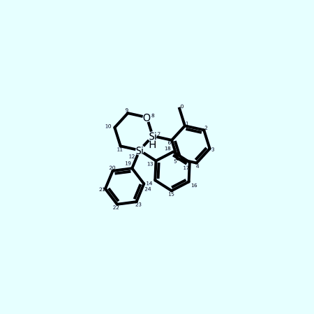 Cc1ccccc1[SiH]1OCCC[Si]1(c1ccccc1)c1ccccc1